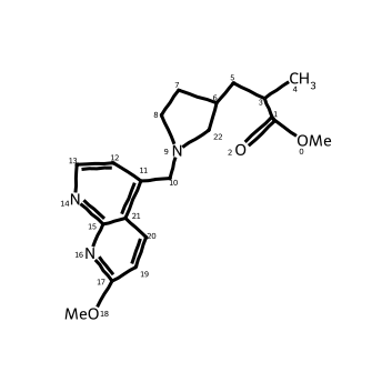 COC(=O)C(C)CC1CCN(Cc2ccnc3nc(OC)ccc23)C1